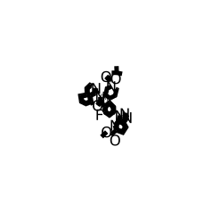 COC(=O)c1ccc2nnn(-c3ccc(C(=O)N(c4nccc5cccc(C)c45)[C@@H]4CCCN(C(=O)OC(C)(C)C)C4)c(F)c3)c2n1